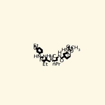 CCC[C@@H](C[C@@H](C)NC(=O)c1ccnc(NS(C)(=O)=O)c1)NCc1cnc(Nc2cccc(OCC)c2)nc1CC